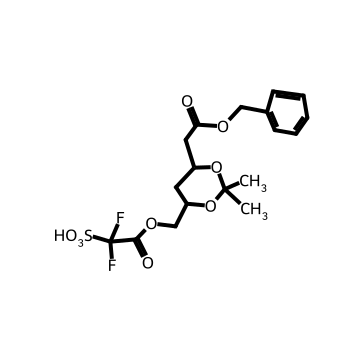 CC1(C)OC(COC(=O)C(F)(F)S(=O)(=O)O)CC(CC(=O)OCc2ccccc2)O1